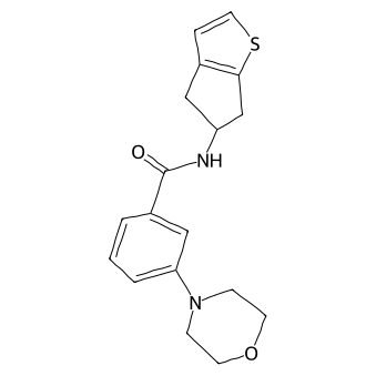 O=C(NC1Cc2ccsc2C1)c1cccc(N2CCOCC2)c1